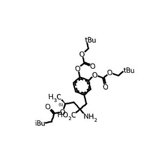 CCC(C)CC(=O)O[C@@H](C)CC(N)(Cc1ccc(OC(=O)OCC(C)(C)C)c(OC(=O)OCC(C)(C)C)c1)C(=O)O